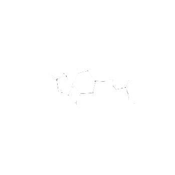 O=C1C=C(O)C2(CCC(OCC(F)F)CC2)N1